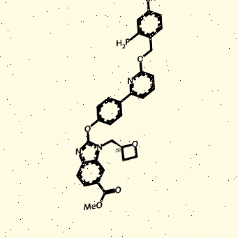 COC(=O)c1ccc2nc(Oc3ccc(-c4cccc(OCc5ccc(C#N)cc5P)n4)cc3)n(C[C@@H]3CCO3)c2c1